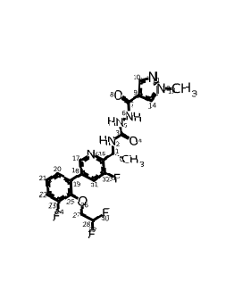 C[C@@H](NC(=O)NNC(=O)c1cnn(C)c1)c1ncc(-c2cccc(F)c2OCC(F)F)cc1F